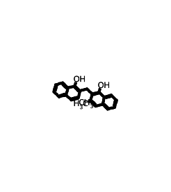 Cc1cc2ccccc2c(O)c1Cc1c(C)cc2ccccc2c1O